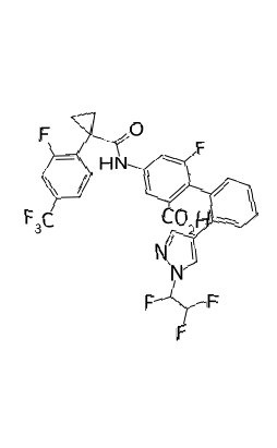 O=C(O)c1cc(NC(=O)C2(c3ccc(C(F)(F)F)cc3F)CC2)cc(F)c1-c1ccccc1-c1cnn(C(F)C(F)F)c1